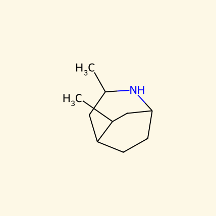 CC1CC2CCC(CC2C)N1